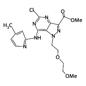 COCCOCCn1nc(C(=O)OC)c2nc(Cl)nc(Nc3cc(C)ccn3)c21